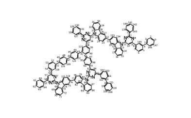 c1ccc(-c2cccc(-c3cc(-n4c5ccccc5c5cc(-c6ccc7c(c6)c6ccccc6n7-c6cc(-c7cccc(-c8ccc(-c9ccc(-c%10cccc(-c%11cc(-c%12ccccc%12)nc(-n%12c%13ccccc%13c%13cc(-c%14ccc%15c(c%14)c%14ccccc%14n%15-c%14nc(-c%15ccccc%15)cc(-c%15cccc(-c%16ccccc%16)c%15)n%14)ccc%13%12)n%11)c%10)cc9)cc8)c7)nc(-c7ccccc7)n6)ccc54)nc(-c4ccccc4)n3)c2)cc1